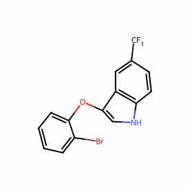 FC(F)(F)c1ccc2[nH]cc(Oc3ccccc3Br)c2c1